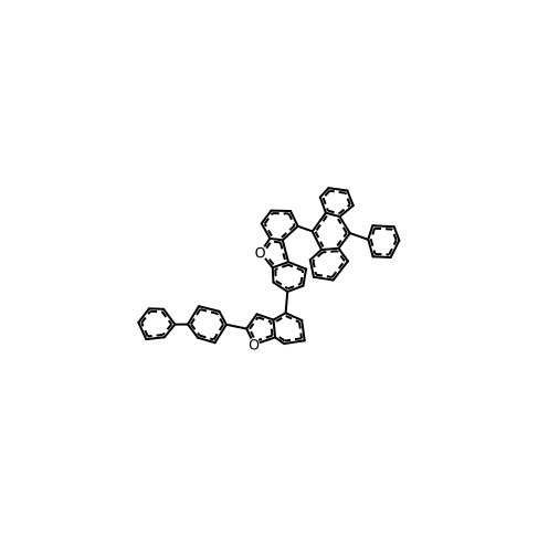 c1ccc(-c2ccc(-c3cc4c(-c5ccc6c(c5)oc5cccc(-c7c8ccccc8c(-c8ccccc8)c8ccccc78)c56)cccc4o3)cc2)cc1